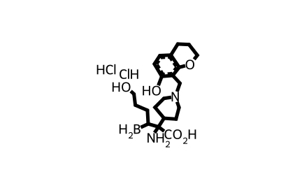 BC(CCCO)C(N)(C(=O)O)C1CCN(Cc2c(O)ccc3c2OCCC3)CC1.Cl.Cl